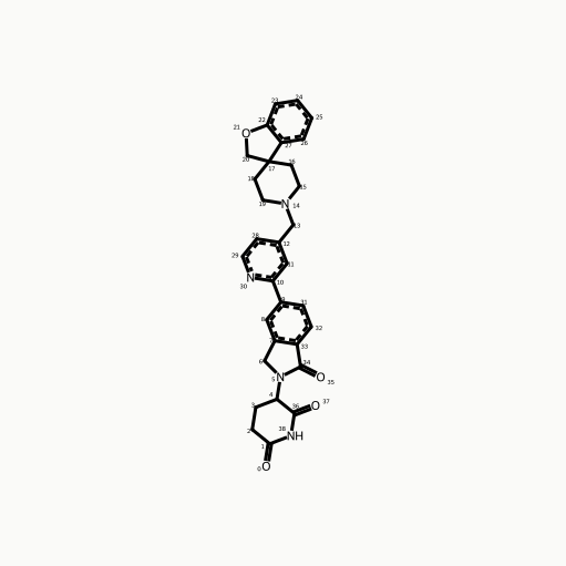 O=C1CCC(N2Cc3cc(-c4cc(CN5CCC6(CC5)COc5ccccc56)ccn4)ccc3C2=O)C(=O)N1